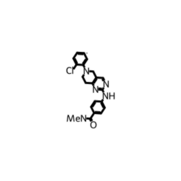 CNC(=O)c1ccc(Nc2ncc3c(n2)CCN(c2c[c]ccc2Cl)C3)cc1